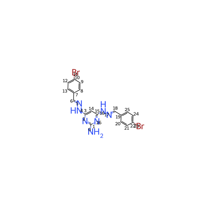 Nc1nc(N/N=C/c2ccc(Br)cc2)cc(N/N=C/c2ccc(Br)cc2)n1